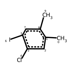 Cc1cc(Cl)c(I)cc1C